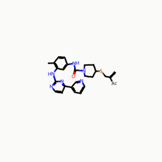 C=C(CSC1CCN(C(=O)Nc2ccc(C)c(Nc3nccc(-c4cccnc4)n3)c2)CC1)C(C)=O